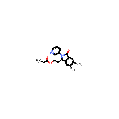 CCC(=O)OCCC1c2cc(C)c(C)cc2C(=O)N1c1cccnc1